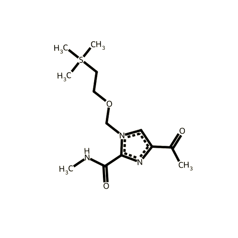 CNC(=O)c1nc(C(C)=O)cn1COCCS(C)(C)C